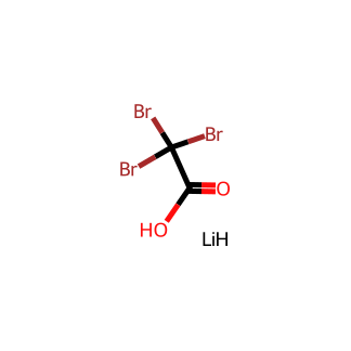 O=C(O)C(Br)(Br)Br.[LiH]